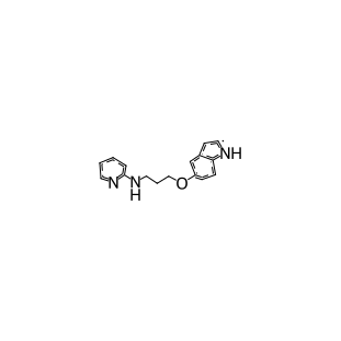 [c]1cc2cc(OCCCNc3ccccn3)ccc2[nH]1